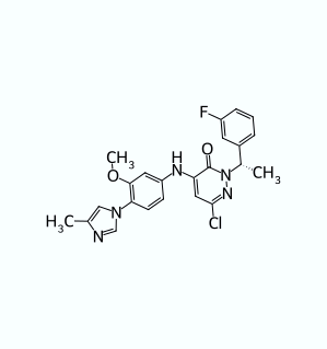 COc1cc(Nc2cc(Cl)nn([C@@H](C)c3cccc(F)c3)c2=O)ccc1-n1cnc(C)c1